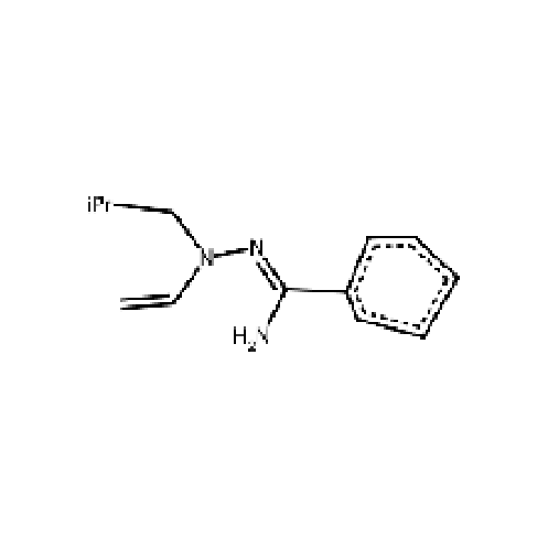 C=CN(CC(C)C)/N=C(\N)c1ccccc1